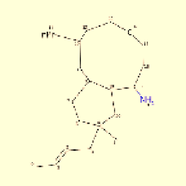 C/C=C/CC1(C)CCC2CC(CCC)CCCCCC(N)C2C1